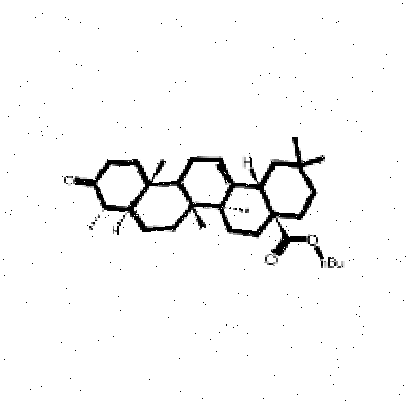 CCCCOC(=O)[C@]12CCC(C)(C)C[C@H]1C1=CCC3[C@@]4(C)CCC(=O)[C@@H](C)[C@@H]4CC[C@@]3(C)[C@]1(C)CC2